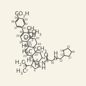 C=C(C)[C@@H]1CC[C@]2(NC(=O)CNCC3CCCC3)CC[C@]3(C)[C@H](CC[C@@H]4[C@@]5(C)CC=C(c6ccc(C(=O)O)cc6)C(C)(C)[C@@H]5CC[C@]43C)[C@@H]12